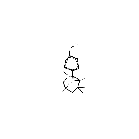 CC1(C)C[C@@H]2CN(C(=O)O)C[C@H]1N(c1ccc(SC#N)cc1)C2